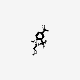 COCCN(C)c1ccc(C(C)=O)cc1C(F)(F)F